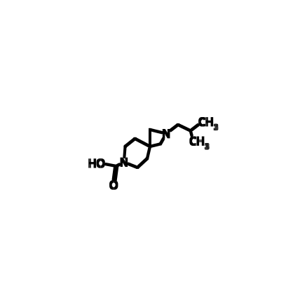 CC(C)CN1CC2(CCN(C(=O)O)CC2)C1